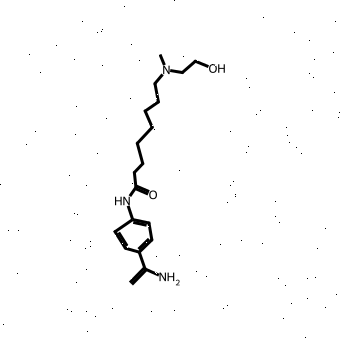 C=C(N)c1ccc(NC(=O)CCCCCCCN(C)CCO)cc1